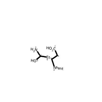 CCC(N)O.CCCCCCCC(=O)O